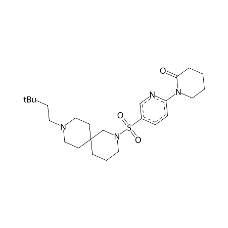 CC(C)(C)CCN1CCC2(CCCN(S(=O)(=O)c3ccc(N4CCCCC4=O)nc3)C2)CC1